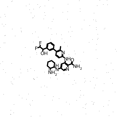 Cc1nc(Nc2cc(N[C@@H]3CCCC[C@@H]3N)cnc2C(N)=O)ccc1-c1cccc(C(O)C(F)F)c1